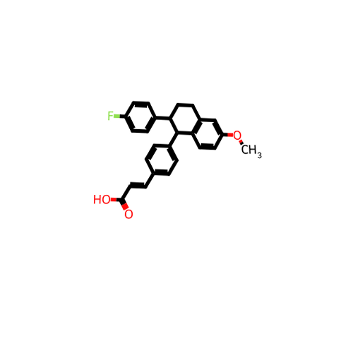 COc1ccc2c(c1)CCC(c1ccc(F)cc1)C2c1ccc(C=CC(=O)O)cc1